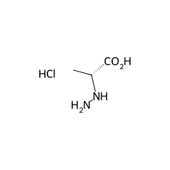 C[C@@H](NN)C(=O)O.Cl